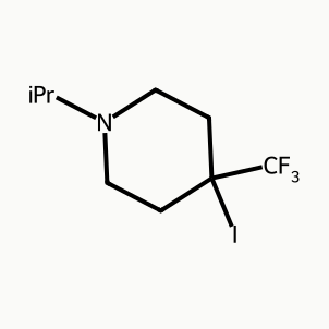 CC(C)N1CCC(I)(C(F)(F)F)CC1